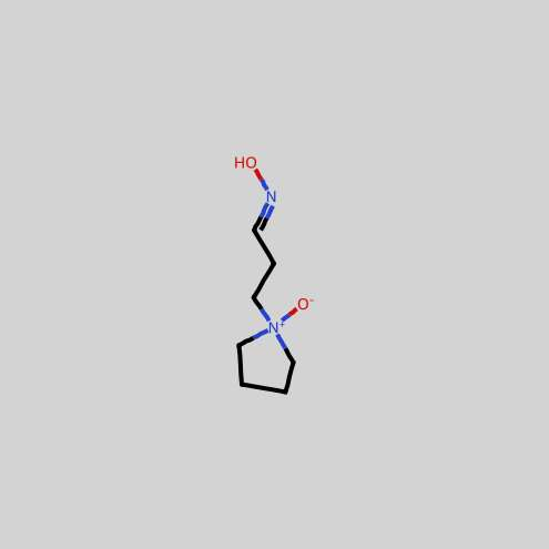 [O-][N+]1(CCC=NO)CCCC1